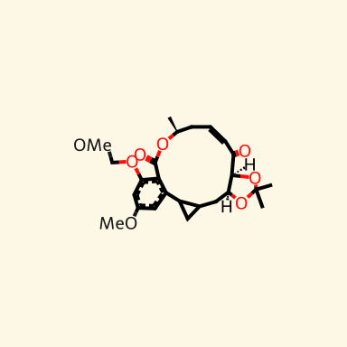 COCOc1cc(OC)cc2c1C(=O)O[C@@H](C)C/C=C\C(=O)[C@H]1OC(C)(C)O[C@H]1CC1CC21